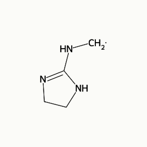 [CH2]NC1=NCCN1